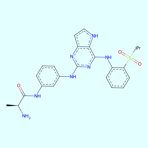 CC(C)S(=O)(=O)c1ccccc1Nc1nc(Nc2cccc(NC(=O)[C@H](C)N)c2)nc2cc[nH]c12